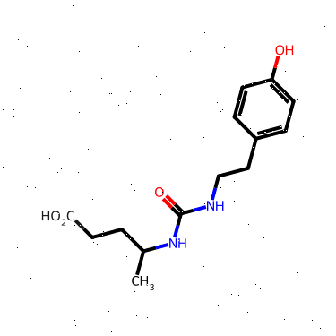 CC(CCC(=O)O)NC(=O)NCCc1ccc(O)cc1